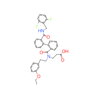 CCOc1cccc(CCN(CCC(=O)O)C(=O)c2ccccc2-c2ccccc2C(=O)NCc2c(F)cccc2F)c1